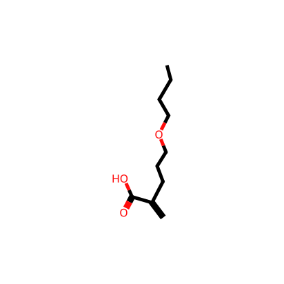 C=C(CCCOCCCC)C(=O)O